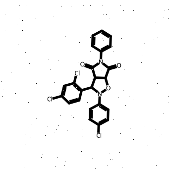 O=C1C2ON(c3ccc(Cl)cc3)C(c3ccc(Cl)cc3Cl)C2C(=O)N1c1ccccc1